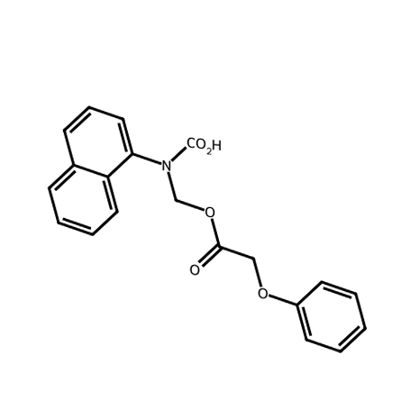 O=C(COc1ccccc1)OCN(C(=O)O)c1cccc2ccccc12